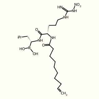 C=CCCCCCCCC(=O)N[C@@H](CCCNC(=N)N[N+](=O)[O-])C(=O)N[C@@H](CC(C)C)B(O)O